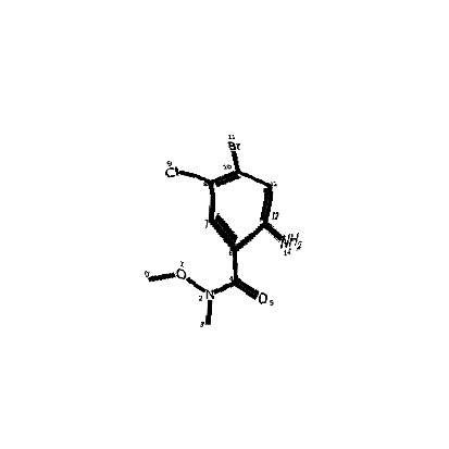 CON(C)C(=O)c1cc(Cl)c(Br)cc1N